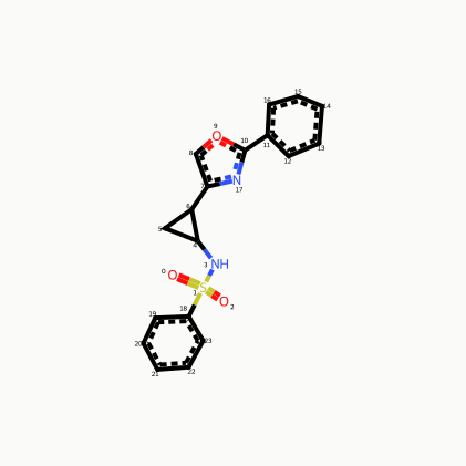 O=S(=O)(NC1CC1c1coc(-c2ccccc2)n1)c1ccccc1